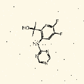 CC(C)(O)c1cc(F)c(F)cc1Nc1ncncn1